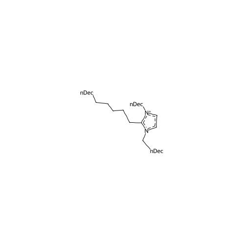 CCCCCCCCCCCCCCCc1n(CCCCCCCCCCC)cc[n+]1CCCCCCCCCC